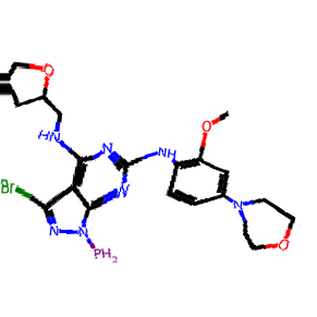 COc1cc(N2CCOCC2)ccc1Nc1nc(NCC2CCCO2)c2c(Br)nn(P)c2n1